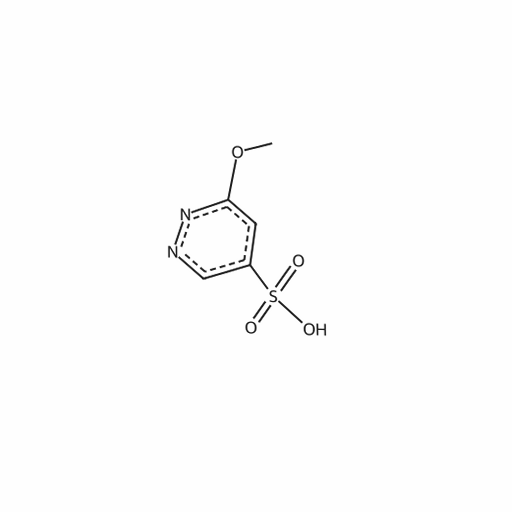 COc1cc(S(=O)(=O)O)cnn1